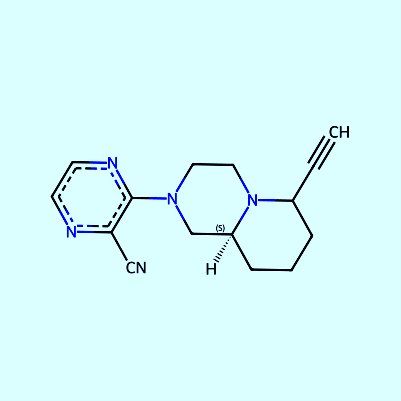 C#CC1CCC[C@H]2CN(c3nccnc3C#N)CCN12